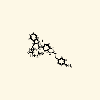 Nc1ccc(CCC2Oc3ccc([C@@H]4c5[nH]c6ccccc6c5C[C@@H]5C(=O)NCC(=O)N45)cc3O2)cc1